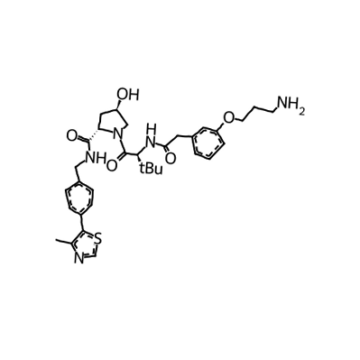 Cc1ncsc1-c1ccc(CNC(=O)[C@@H]2C[C@@H](O)CN2C(=O)[C@@H](NC(=O)Cc2cccc(OCCCN)c2)C(C)(C)C)cc1